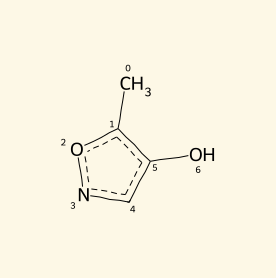 Cc1oncc1O